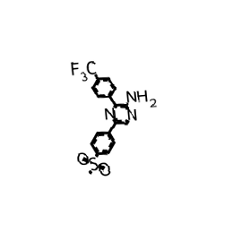 CS(=O)(=O)c1ccc(-c2cnc(N)c(-c3ccc(C(F)(F)F)cc3)n2)cc1